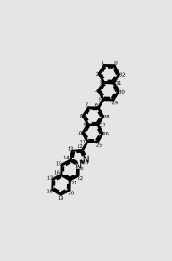 c1ccc2cc(-c3ccc4cc(-c5cc6cc7ccccc7cn6n5)ccc4c3)ccc2c1